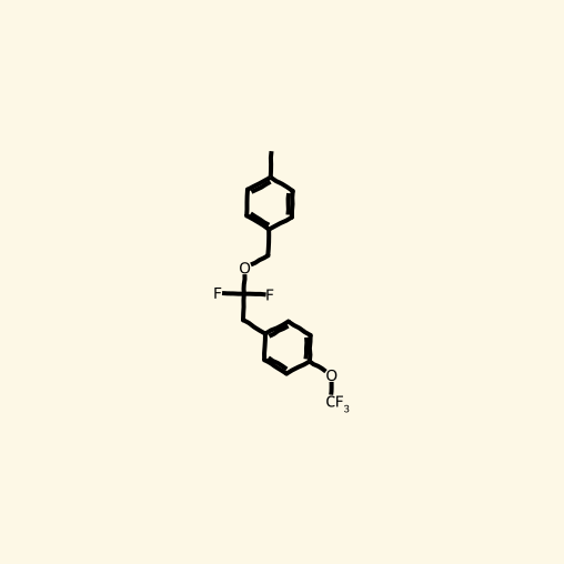 Cc1ccc(COC(F)(F)Cc2ccc(OC(F)(F)F)cc2)cc1